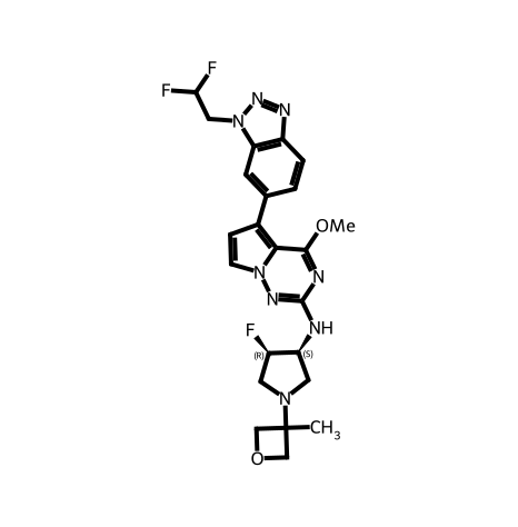 COc1nc(N[C@H]2CN(C3(C)COC3)C[C@H]2F)nn2ccc(-c3ccc4nnn(CC(F)F)c4c3)c12